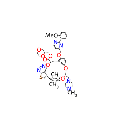 COc1ccccc1-c1nccc(COc2ccc3cc2CC(C(=O)OC[C@H]2COCCO2)Oc2ncnc4scc(c24)-c2c(C)cc(cc2C)OC(CN2CCN(C)CC2)CO3)n1